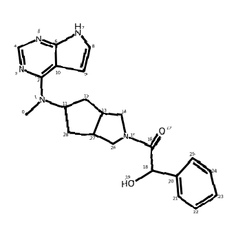 CN(c1ncnc2[nH]ccc12)C1CC2CN(C(=O)C(O)c3ccccc3)CC2C1